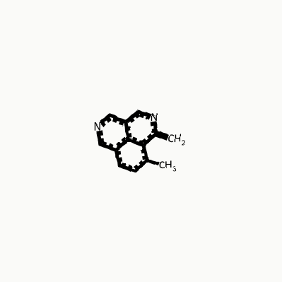 C=c1ncc2cncc3ccc(C)c1c32